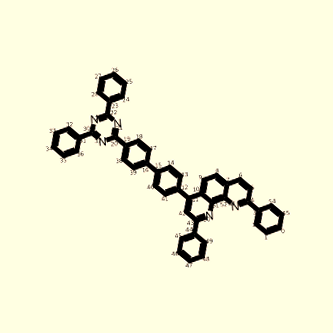 c1ccc(-c2ccc3ccc4c(-c5ccc(-c6ccc(-c7nc(-c8ccccc8)nc(-c8ccccc8)n7)cc6)cc5)cc(-c5ccccc5)nc4c3n2)cc1